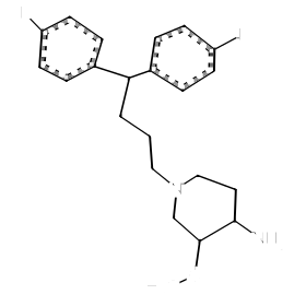 COC1CN(CCCC(c2ccc(F)cc2)c2ccc(F)cc2)CCC1N